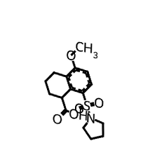 COc1ccc(S(=O)(=O)N2CCCC2)c2c1CCCC2C(=O)O